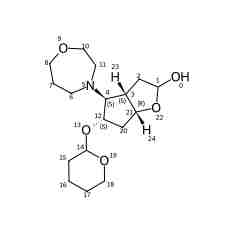 OC1C[C@H]2[C@H](N3CCCOCC3)[C@@H](OC3CCCCO3)C[C@H]2O1